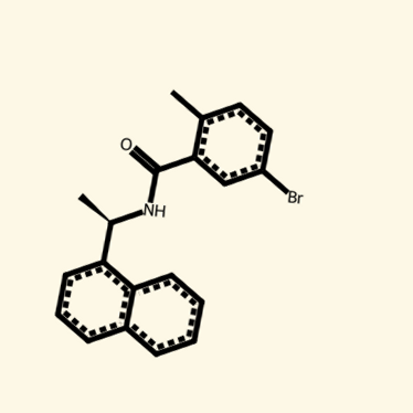 Cc1ccc(Br)cc1C(=O)N[C@H](C)c1cccc2ccccc12